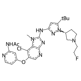 CC(=O)Nc1cc(Oc2cnc3nc(Nc4cc(C(C)(C)C)n([C@H]5CCN(CCF)C5)n4)n(C)c3c2Cl)ccn1